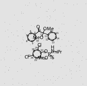 COC(OC)(C(=O)c1ccccc1)c1ccccc1.COP(=S)(NC(C)C)Oc1ccc(Cl)cc1Cl